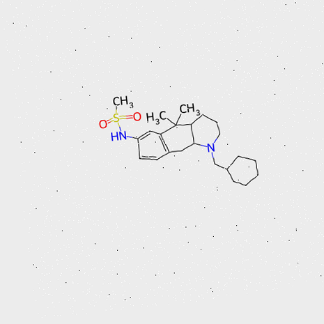 CC1(C)c2cc(NS(C)(=O)=O)ccc2CC2C1CCCN2CC1CCCCC1